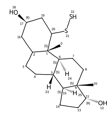 C[C@]12C(CC[C@@H]3[C@@H]1CC[C@]1(C)[C@H](O)CC[C@@H]31)C[C@@H](O)CC2SS